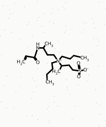 C=CC(=O)NC(C)CC[N+](CCCC)(CCCC)C(C)CCS(=O)(=O)[O-]